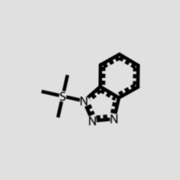 CS(C)(C)n1nnc2ccccc21